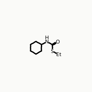 CCSC(=O)NC1CCCCC1